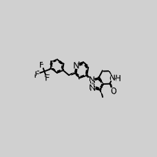 Cc1nn(-c2ccnc(Cc3cccc(C(F)(F)F)c3)c2)c2c1C(=O)NCC2